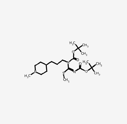 CS/C(=N/C(=O)OC(C)(C)C)N(CCCC1CCN(C)CC1)C(=O)OC(C)(C)C